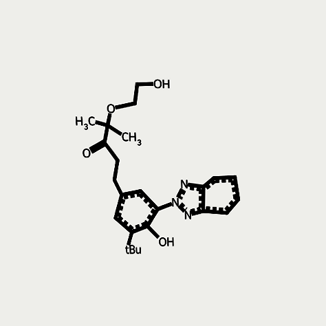 CC(C)(OCCO)C(=O)CCc1cc(-n2nc3ccccc3n2)c(O)c(C(C)(C)C)c1